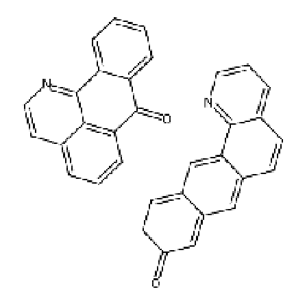 O=C1C=c2cc3ccc4cccnc4c3cc2=CC1.O=C1c2ccccc2-c2nccc3cccc1c23